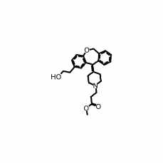 COC(=O)CCN1CCC(=C2c3ccccc3COc3ccc(CCO)cc32)CC1